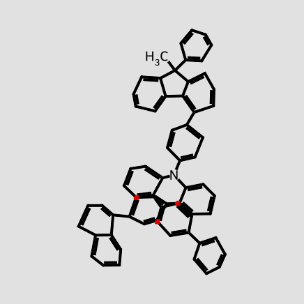 CC1(c2ccccc2)c2ccccc2-c2c(-c3ccc(N(c4ccccc4-c4ccc(-c5ccccc5)cc4)c4ccccc4-c4ccc(-c5cccc6ccccc56)cc4)cc3)cccc21